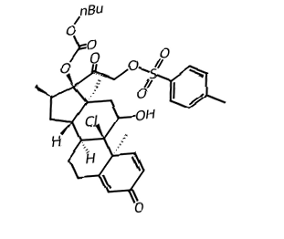 CCCCOC(=O)O[C@]1(C(=O)COS(=O)(=O)c2ccc(C)cc2)[C@H](C)C[C@H]2[C@@H]3CCC4=CC(=O)C=C[C@]4(C)[C@@]3(Cl)C(O)C[C@@]21C